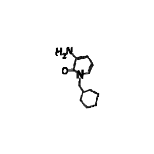 Nc1cccn(CC2CCCCC2)c1=O